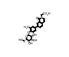 Cc1cc(-c2ccc3ccn(CC(=O)O)c(=O)c3c2)ccc1O[C@H]1O[C@@H](CO)[C@@H](O)[C@@H](O)[C@@H]1O